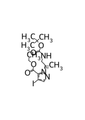 CCOC(=O)c1c(I)cnn1[C@@H](C)CNC(=O)OC(C)(C)C